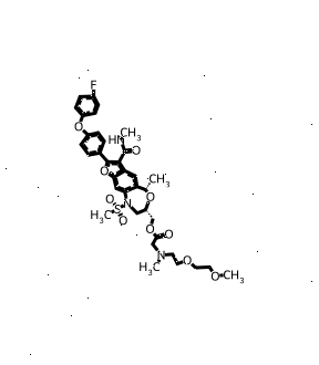 CNC(=O)c1c(-c2ccc(Oc3ccc(F)cc3)cc2)oc2cc3c(cc12)[C@H](C)O[C@H](COC(=O)CN(C)CCOCCOC)CN3S(C)(=O)=O